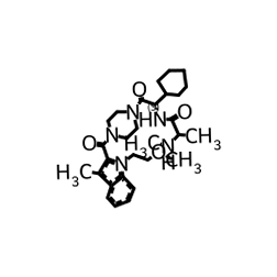 CNC(C)C(=O)N[C@H](C(=O)N1CCN(C(=O)c2c(C)c3ccccc3n2CCOC)CC1)C1CCCCC1